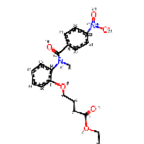 CCOC(=O)CCCOc1ccccc1N(C)C(=O)c1ccc([N+](=O)[O-])cc1